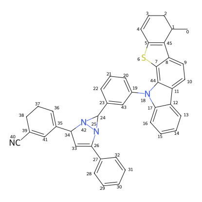 CC1CC=Cc2sc3c(ccc4c5ccccc5n(-c5cccc(C6N7C(c8ccccc8)=CC(C8=CCCC(C#N)=C8)N67)c5)c43)c21